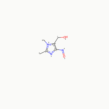 Cc1nc(N=O)c(CO)n1C